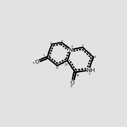 O=c1ccn2cc[nH]c(=O)c2c1